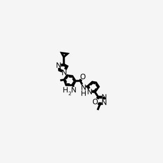 Cc1nnc(-c2cccc(NC(=O)c3cc(-n4cnc(C5CC5)c4)c(C)cc3N)n2)o1